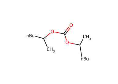 CCCCC(C)OC(=O)OC(C)CCCC